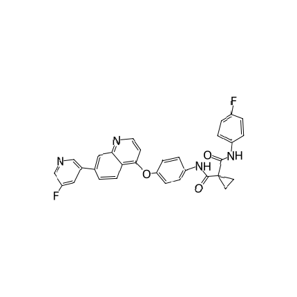 O=C(Nc1ccc(F)cc1)C1(C(=O)Nc2ccc(Oc3ccnc4cc(-c5cncc(F)c5)ccc34)cc2)CC1